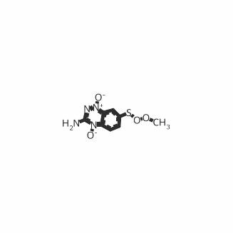 COOSc1ccc2c(c1)[n+]([O-])nc(N)[n+]2[O-]